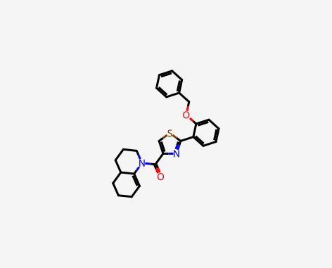 O=C(c1csc(-c2ccccc2OCc2ccccc2)n1)N1CCCC2CCCC=C21